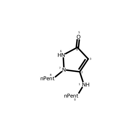 CCCCCNc1cc(=O)[nH]n1CCCCC